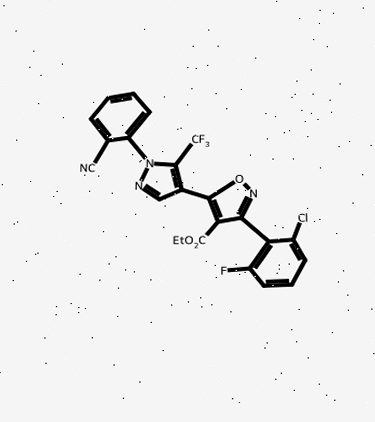 CCOC(=O)c1c(-c2c(F)cccc2Cl)noc1-c1cnn(-c2ccccc2C#N)c1C(F)(F)F